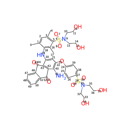 Cc1cc(C)c(S(=O)(=O)N(CCO)CCO)c(C)c1Nc1cc(Oc2ccc(S(=O)(=O)N(CCO)CCO)cc2)c(N)c2c1C(=O)c1ccccc1C2=O